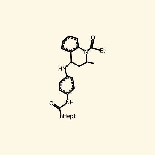 CCCCCCCC(=O)Nc1ccc(N[C@@H]2C[C@H](C)N(C(=O)CC)c3ccccc32)cc1